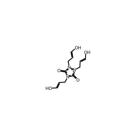 O=c1n(CC=CO)c(=O)n(CC=CO)n1CC=CO